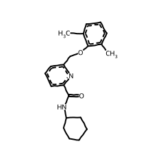 Cc1cccc(C)c1OCc1cccc(C(=O)NC2CCCCC2)n1